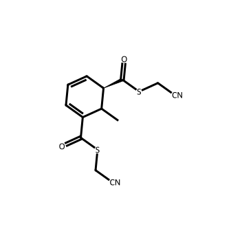 CC1C(C(=O)SCC#N)=CC=C[C@H]1C(=O)SCC#N